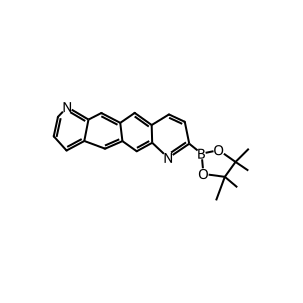 CC1(C)OB(c2ccc3cc4cc5ncccc5cc4cc3n2)OC1(C)C